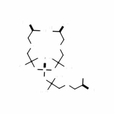 C=C(C)COCC(CCCC)(CCCC)OP(=O)(OC(CCCC)(CCCC)COCC(=C)C)OC(CCCC)(CCCC)COCC(=C)C